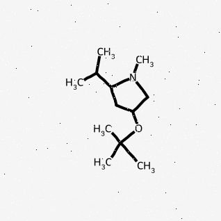 CC(C)C1CC(OC(C)(C)C)CN1C